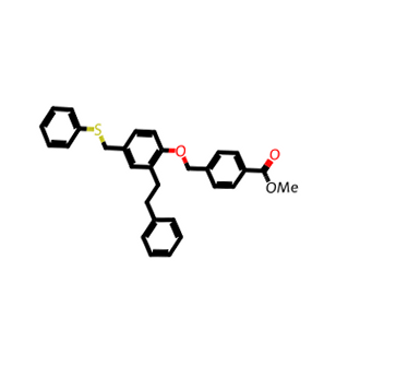 COC(=O)c1ccc(COc2ccc(CSc3ccccc3)cc2CCc2ccccc2)cc1